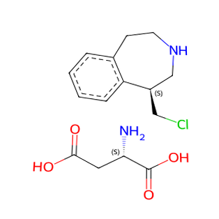 ClC[C@@H]1CNCCc2ccccc21.N[C@@H](CC(=O)O)C(=O)O